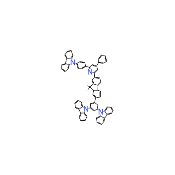 CC1(C)c2cc(-c3cc(-n4c5ccccc5c5ccccc54)cc(-n4c5ccccc5c5ccccc54)c3)ccc2-c2ccc(-c3cc(-c4ccccc4)cc(-c4ccc(-n5c6ccccc6c6ccccc65)cc4)n3)cc21